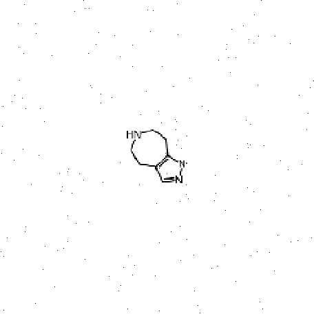 C1=N[N]C2=C1CCNCC2